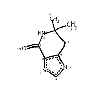 CC1(C)Cc2ncsc2C(=O)N1